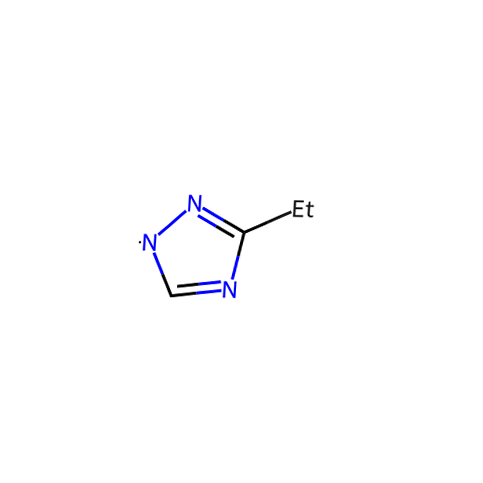 CCC1=N[N]C=N1